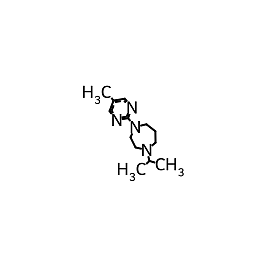 Cc1cnc(N2CCCN(C(C)C)CC2)nc1